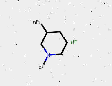 CCCC1CCCN(CC)C1.F